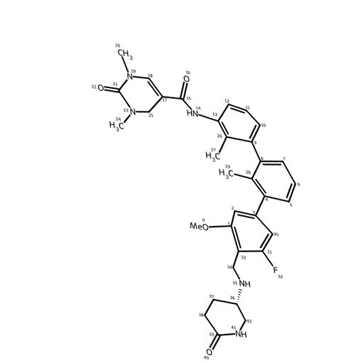 COc1cc(-c2cccc(-c3cccc(NC(=O)C4=CN(C)C(=O)N(C)C4)c3C)c2C)cc(F)c1CN[C@H]1CCC(=O)NC1